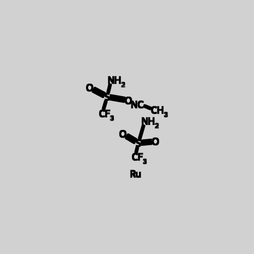 CC#N.NS(=O)(=O)C(F)(F)F.NS(=O)(=O)C(F)(F)F.[Ru]